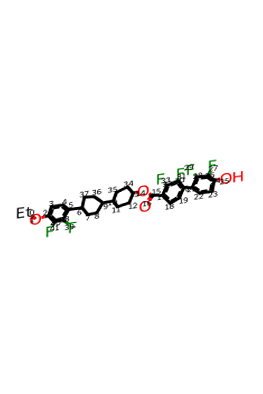 CCOc1ccc(C2CCC(C3CCC(OC(=O)c4ccc(-c5ccc(O)c(F)c5F)c(F)c4F)CC3)CC2)c(F)c1F